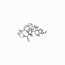 O=C(c1noc(-c2cnc3[nH]ccc3c2N[C@H]2C3CC4CC2C[C@@](O)(C4)C3)n1)N1CCOCC1